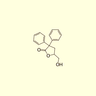 O=C1OC(CO)CC1(c1ccccc1)c1ccccc1